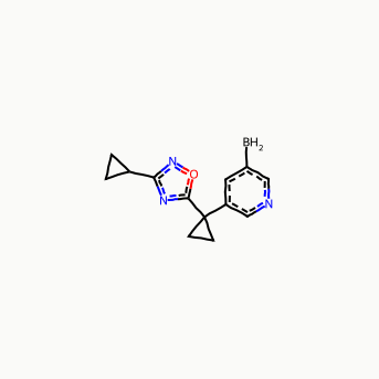 Bc1cncc(C2(c3nc(C4CC4)no3)CC2)c1